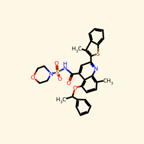 Cc1c(-c2cc(C(=O)NS(=O)(=O)N3CCOCC3)c3c(OC(C)c4ccccc4)ccc(C)c3n2)sc2ccccc12